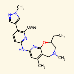 COc1nc(Nc2cc(C)c3c(n2)OC(CC(F)(F)F)CN(C)C3)ccc1-c1cnn(C)c1